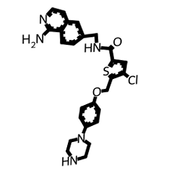 Nc1nccc2cc(CNC(=O)c3cc(Cl)c(COc4ccc(N5CCNCC5)cc4)s3)ccc12